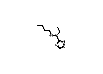 CCCCN[C@@H](CC)c1ncon1